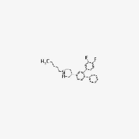 CCCCC[Si@H]1CC[C@H](c2ccc(-c3ccccc3)c(-c3ccc(F)c(F)c3)c2)CC1